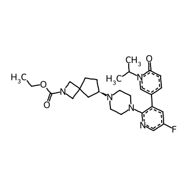 CCOC(=O)N1CC2(CC[C@@H](N3CCN(c4ncc(F)cc4-c4ccc(=O)n(C(C)C)c4)CC3)C2)C1